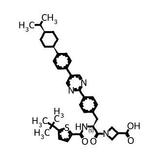 CC(C)[C@H]1CC[C@@H](c2ccc(-c3cnc(-c4ccc(C[C@H](NC(=O)c5ccc(C(C)(C)C)s5)C(=O)N5CC(C(=O)O)C5)cc4)nc3)cc2)CC1